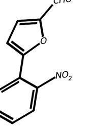 O=[C]c1ccc(-c2ccccc2[N+](=O)[O-])o1